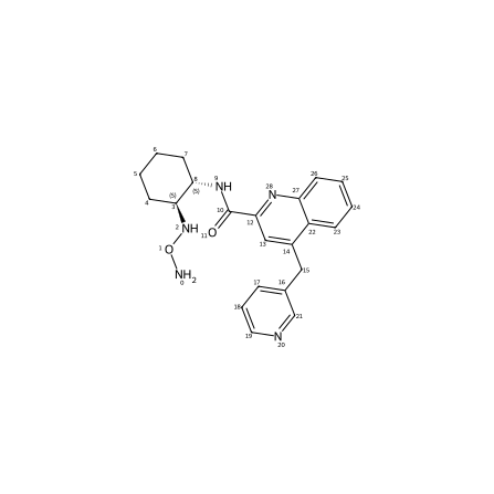 NON[C@H]1CCCC[C@@H]1NC(=O)c1cc(Cc2cccnc2)c2ccccc2n1